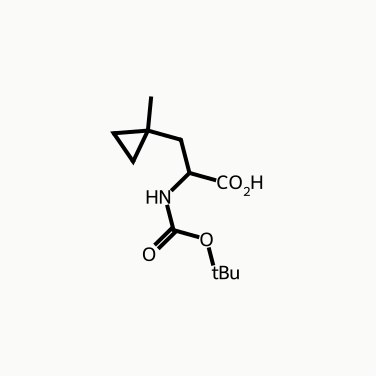 CC1(CC(NC(=O)OC(C)(C)C)C(=O)O)CC1